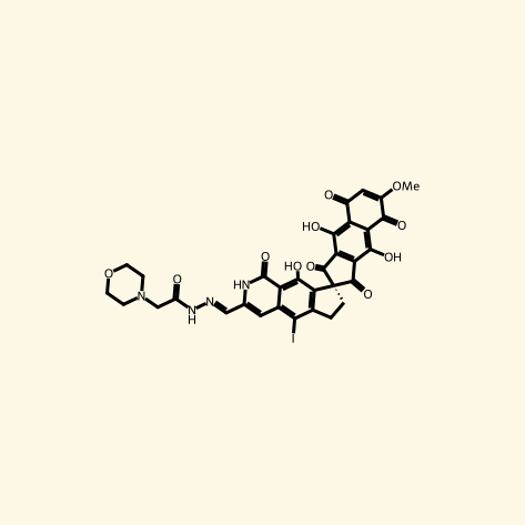 COC1=CC(=O)c2c(O)c3c(c(O)c2C1=O)C(=O)[C@]1(CCc2c1c(O)c1c(=O)[nH]c(/C=N/NC(=O)CN4CCOCC4)cc1c2I)C3=O